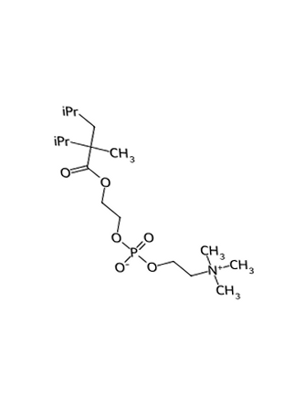 CC(C)CC(C)(C(=O)OCCOP(=O)([O-])OCC[N+](C)(C)C)C(C)C